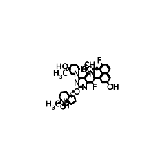 C#Cc1c(F)ccc2cc(O)cc(-c3nc(OC)c4c(N5CCC[C@@](C)(O)C5)nc(OC[C@]56CCC[C@H]5[N+](C)([O-])CCC6)nc4c3F)c12